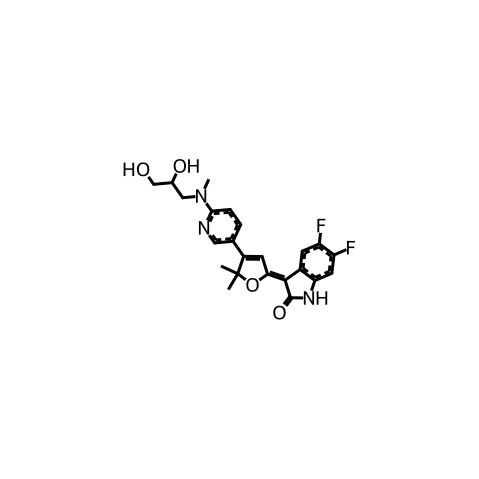 CN(CC(O)CO)c1ccc(C2=CC(=C3C(=O)Nc4cc(F)c(F)cc43)OC2(C)C)cn1